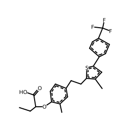 CCC(Oc1ccc(CCc2sc(-c3ccc(C(F)(F)F)cc3)cc2C)cc1C)C(=O)O